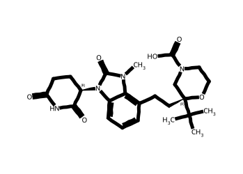 Cn1c(=O)n([C@@H]2CCC(=O)NC2=O)c2cccc(CC[C@@]3(C(C)(C)C)CN(C(=O)O)CCO3)c21